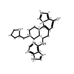 Clc1cc(CCNc2ncnc3[nH]cnc23)c(N2CCN(CC3CCCO3)CC2)n2cncc12